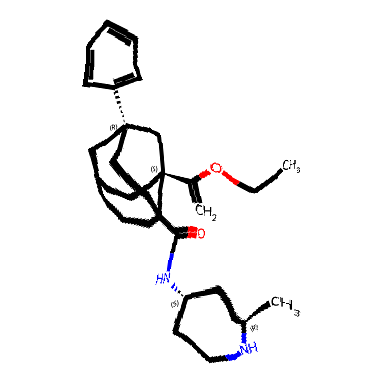 C=C(OCC)[C@]12CC3CC1(C(=O)N[C@H]1CCN[C@H](C)C1)C[C@@](c1ccccc1)(C3)C2